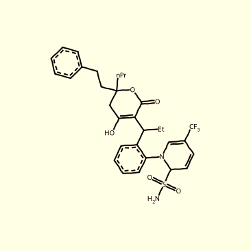 CCCC1(CCc2ccccc2)CC(O)=C(C(CC)c2ccccc2N2C=C(C(F)(F)F)C=CC2S(N)(=O)=O)C(=O)O1